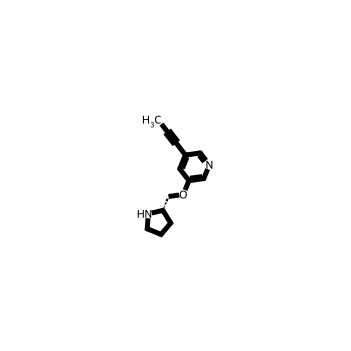 CC#Cc1cncc(OC[C@@H]2CCCN2)c1